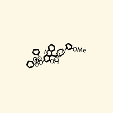 COc1cccc(N2CCN(C(=O)c3c4ccccc4nc4cc(OP(=O)(Oc5ccccc5)Oc5ccccc5)cc(O)c34)CC2)c1